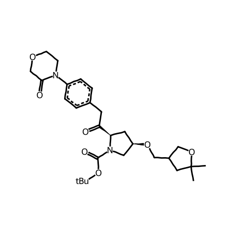 CC(C)(C)OC(=O)N1C[C@H](OCC2COC(C)(C)C2)C[C@@H]1C(=O)Cc1ccc(N2CCOCC2=O)cc1